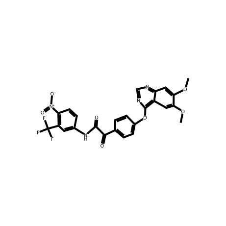 COc1cc2ncnc(Oc3ccc(C(=O)C(=O)Nc4ccc([N+](=O)[O-])c(C(F)(F)F)c4)cc3)c2cc1OC